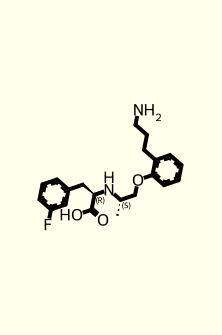 C[C@@H](COc1ccccc1CCCN)N[C@H](Cc1cccc(F)c1)C(=O)O